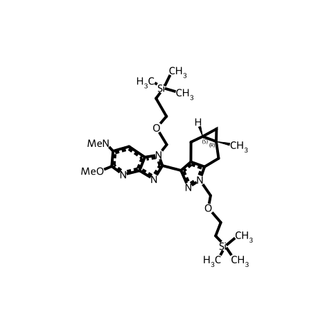 CNc1cc2c(nc1OC)nc(-c1nn(COCC[Si](C)(C)C)c3c1C[C@@H]1C[C@]1(C)C3)n2COCC[Si](C)(C)C